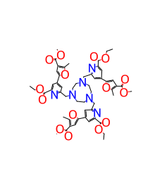 CCOC(=O)c1cc(-c2cc(C(=O)OC)c(C)o2)cc(CN2CCN(Cc3cc(-c4cc(C(=O)OC)c(C)o4)cc(C(=O)OCC)n3)CCN(Cc3cc(-c4cc(C(=O)OC)c(C)o4)cc(C(=O)OCC)n3)CC2)n1